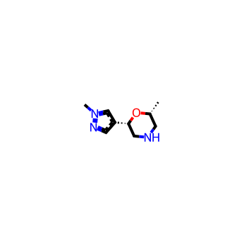 C[C@@H]1CNC[C@H](c2cnn(C)c2)O1